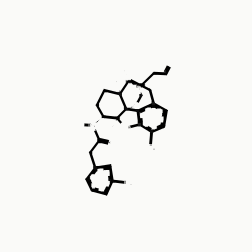 C=CCN1CC[C@]23c4c5ccc(O)c4O[C@H]2[C@@H](N(C)C(=O)Cc2cccc(Br)c2)CC[C@@]3(O)[C@H]1C5